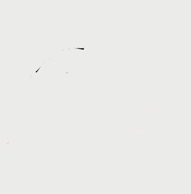 O=C(O)CCC/C=C\C[C@@H]1[C@H](CCCCO)[C@@H]2CC[C@H]1O2